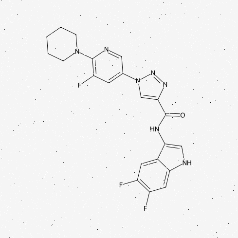 O=C(Nc1c[nH]c2cc(F)c(F)cc12)c1cn(-c2cnc(N3CCCCC3)c(F)c2)nn1